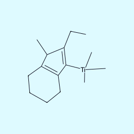 CCC1=[C]([Ti]([CH3])([CH3])[CH3])C2=C(CCCC2)C1C